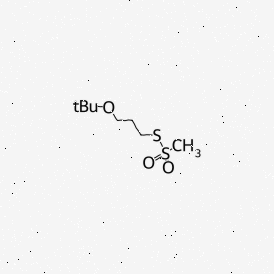 CC(C)(C)OCCCSS(C)(=O)=O